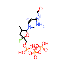 CC1C[C@@](F)(COP(=O)(O)OP(=O)(O)OP(=O)(O)O)OC1N(C)/C=C\C(N)=N/C=O